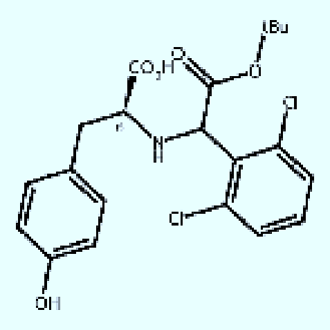 CC(C)(C)OC(=O)C(N[C@@H](Cc1ccc(O)cc1)C(=O)O)c1c(Cl)cccc1Cl